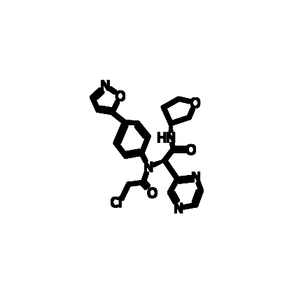 O=C(N[C@H]1CCOC1)[C@@H](c1cnccn1)N(C(=O)CCl)c1ccc(-c2ccno2)cc1